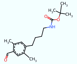 Cc1cc(CCCCNC(=O)OC(C)(C)C)c(C)cc1C=O